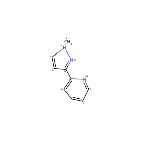 Cn1c[c]c(-c2ccccn2)n1